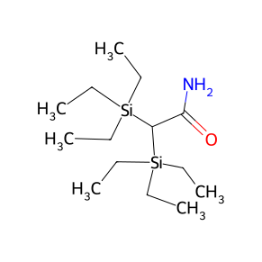 CC[Si](CC)(CC)C(C(N)=O)[Si](CC)(CC)CC